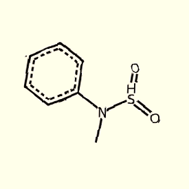 CN(c1cc[c]cc1)[SH](=O)=O